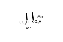 CC(=O)O.CC(=O)O.[Mn].[Mn]